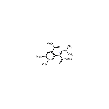 COC(=O)/C(=C\N(C)C)c1cc([N+](=O)[O-])c(OC)cc1C(=O)OC